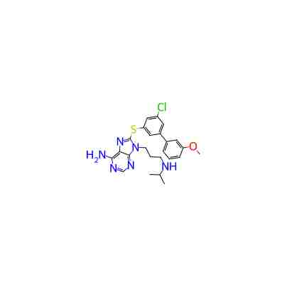 COc1cccc(-c2cc(Cl)cc(Sc3nc4c(N)ncnc4n3CCCNC(C)C)c2)c1